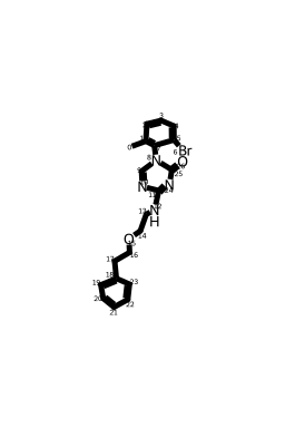 Cc1cccc(Br)c1-n1cnc(NCCOCCc2ccccc2)nc1=O